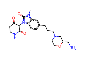 Cn1c(=O)n(C2C(=O)CCNC2=O)c2ccc(CCCN3CCO[C@@H](CN)C3)cc21